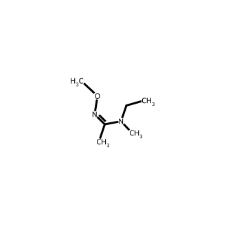 CCN(C)/C(C)=N\OC